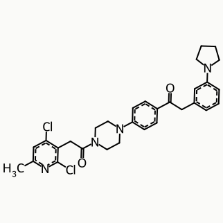 Cc1cc(Cl)c(CC(=O)N2CCN(c3ccc(C(=O)Cc4cccc(N5CCCC5)c4)cc3)CC2)c(Cl)n1